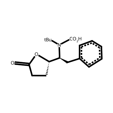 CC(C)(C)N(C(=O)O)[C@@H](Cc1ccccc1)[C@@H]1CCC(=O)O1